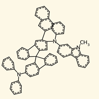 Cn1c2ccccc2c2ccc(N(c3ccccc3)c3cc4c(cc3-c3ccc5ccccc5c3)-c3ccccc3C43c4ccccc4-c4ccc(N(c5ccccc5)c5ccccc5)cc43)cc21